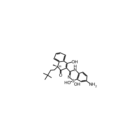 CC(C)(C)CC[C@@]1(C)C(=O)C(C2=NS(O)(O)c3cc(N)ccc3N2)=C(O)c2ccccc21